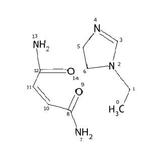 CCN1C=NCC1.NC(=O)/C=C\C(N)=O